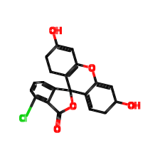 O=C1OC2(C3=CCC(O)C=C3OC3=C2CCC(O)=C3)c2cccc(Cl)c21